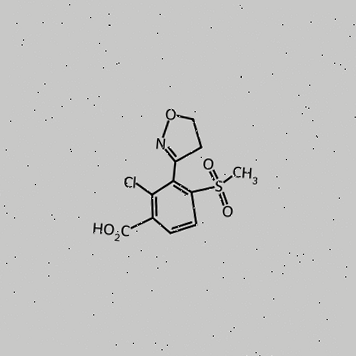 CS(=O)(=O)c1ccc(C(=O)O)c(Cl)c1C1=NOCC1